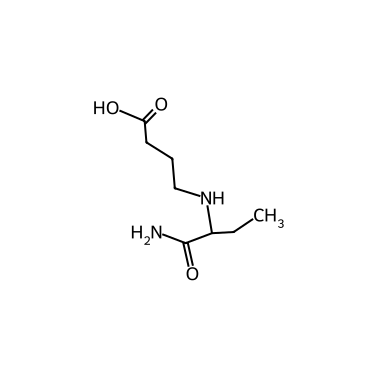 CCC(NCCCC(=O)O)C(N)=O